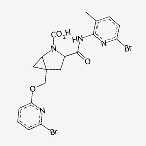 Cc1ccc(Br)nc1NC(=O)C1CC2(COc3cccc(Br)n3)CC2N1C(=O)O